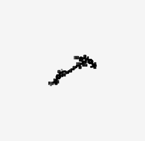 CCN(CCOCCOCCC(=O)N[C@H](C(=O)N1C[C@H](O)C[C@H]1C(=O)N[C@@H](C)c1ccc(-c2scnc2C)cc1)C(C)(C)C)C[C@@H](C)NC(=O)c1ccc(-c2noc(C(F)(F)F)n2)cc1